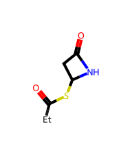 CCC(=O)SC1CC(=O)N1